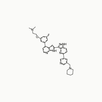 CN(C)CCOc1cc(F)cc(-c2ccnc3[nH]c(-c4n[nH]c5ccc(-c6cncc(CN7CCCCC7)c6)nc45)cc23)c1